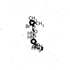 Cc1cc(C)c(OCC(=O)NC(=S)Nc2ccc(S(=O)(=O)Nc3nccs3)cc2)c(Br)c1